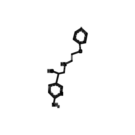 Nc1ccc(C(O)CNCCOc2cc[c]cc2)cn1